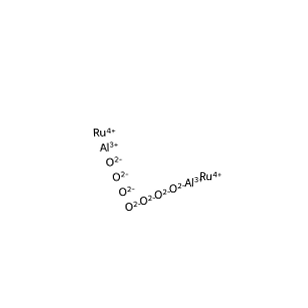 [Al+3].[Al+3].[O-2].[O-2].[O-2].[O-2].[O-2].[O-2].[O-2].[Ru+4].[Ru+4]